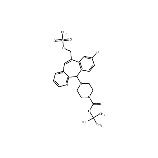 CC(C)(C)OC(=O)N1CCN(C2c3ccc(Cl)cc3C(COS(C)(=O)=O)=Cc3cccnc32)CC1